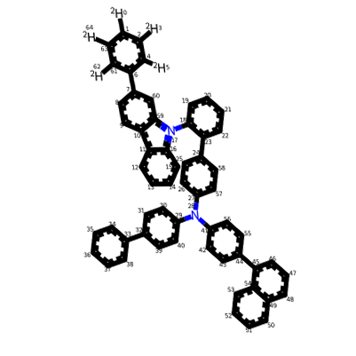 [2H]c1c([2H])c([2H])c(-c2ccc3c4ccccc4n(-c4ccccc4-c4ccc(N(c5ccc(-c6ccccc6)cc5)c5ccc(-c6cccc7ccccc67)cc5)cc4)c3c2)c([2H])c1[2H]